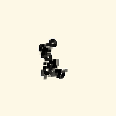 CC1CCCN(c2nc(C(F)(F)F)c(C(=O)Nc3ccc4c(ccn4S(=O)(=O)Cc4ccccc4)c3)o2)C1